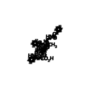 CS(=O)(=O)N[C@@H](CCCCNC(=O)OCc1ccccc1)C(=O)N[C@H](CP(=O)(O)CC1(C(=O)N[C@@H](Cc2c[nH]c3ccccc23)C(=O)O)CCCC1)c1ccccc1